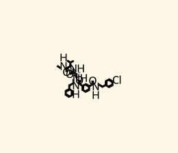 CCNC(=O)[C@@H](NC(=O)[C@H](C)NC[C@H](Cc1ccccc1)NC(=O)c1cccc(C(=O)NCCc2ccc(Cl)cc2)c1)C(C)C